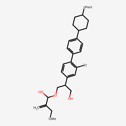 C=C(COC)C(O)OCC(CO)c1ccc(-c2ccc(C3CCC(CCCCC)CC3)cc2)c(CC)c1